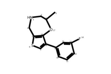 CC1CNCc2scc(-c3cccc(F)c3)c2O1